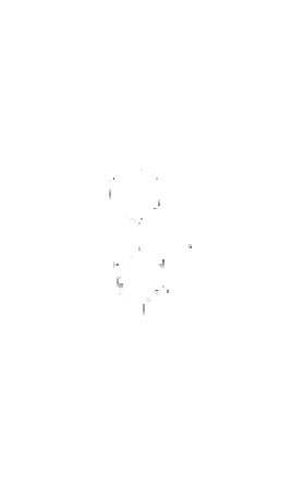 Brc1cnc(N2CCOCC2)c(Br)n1